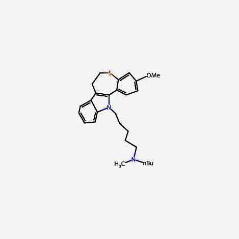 CCCCN(C)CCCCCn1c2c(c3ccccc31)CCSc1cc(OC)ccc1-2